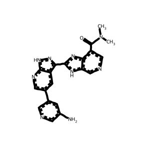 CN(C)C(=O)c1cncc2[nH]c(-c3n[nH]c4ncc(-c5cncc(N)c5)cc34)nc12